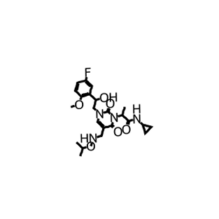 COc1ccc(F)cc1C(O)Cn1cc(CNOC(C)C)c(=O)n(C(C)C(=O)NC2CC2)c1=O